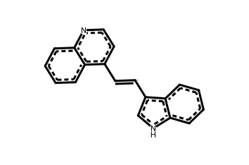 [C](=Cc1ccnc2ccccc12)c1c[nH]c2ccccc12